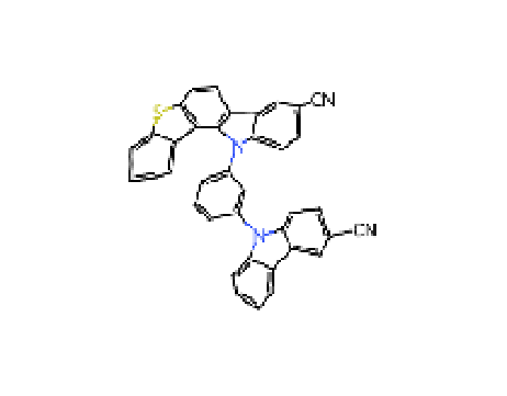 N#Cc1ccc2c(c1)c1ccccc1n2-c1cccc(-n2c3ccc(C#N)cc3c3ccc4sc5ccccc5c4c32)c1